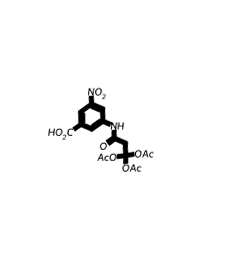 CC(=O)OC(CC(=O)Nc1cc(C(=O)O)cc([N+](=O)[O-])c1)(OC(C)=O)OC(C)=O